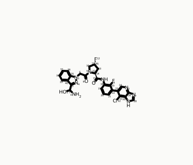 NC(O)c1nn(CC(=O)N2C[C@H](F)C[C@H]2C(=O)Nc2cccc(-c3cnc4nc[nH]c4c3Cl)c2F)c2ccccc12